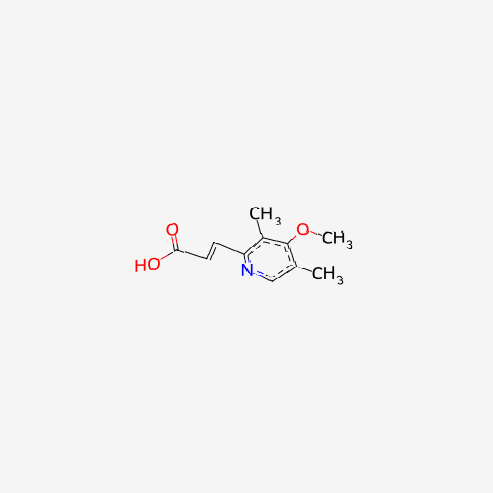 COc1c(C)cnc(C=CC(=O)O)c1C